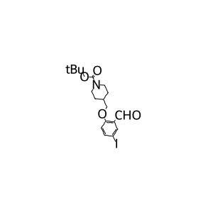 CC(C)(C)OC(=O)N1CCC(COc2ccc(I)cc2C=O)CC1